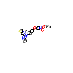 CCc1cn(CCc2ccc(OC3CCN(C(=O)OC(C)(C)C)CC3)cc2)c(-c2cc3sccc3n2C)n1